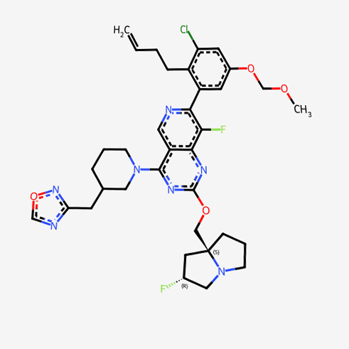 C=CCCc1c(Cl)cc(OCOC)cc1-c1ncc2c(N3CCCC(Cc4ncon4)C3)nc(OC[C@@]34CCCN3C[C@H](F)C4)nc2c1F